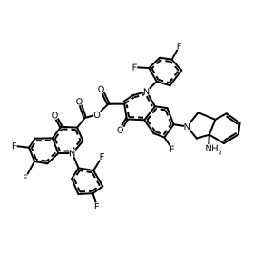 NC12C=CC=CC1CN(c1cc3c(cc1F)c(=O)c(C(=O)OC(=O)c1cn(-c4ccc(F)cc4F)c4cc(F)c(F)cc4c1=O)cn3-c1ccc(F)cc1F)C2